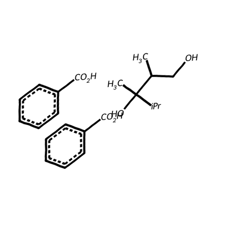 CC(C)C(C)(O)C(C)CO.O=C(O)c1ccccc1.O=C(O)c1ccccc1